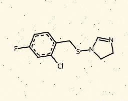 Fc1ccc(CSN2C=NCC2)c(Cl)c1